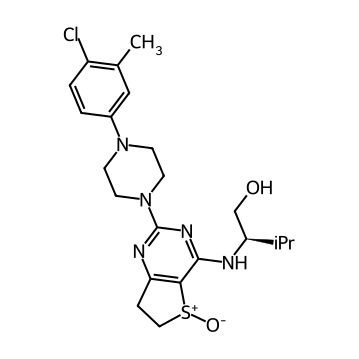 Cc1cc(N2CCN(c3nc4c(c(N[C@@H](CO)C(C)C)n3)[S+]([O-])CC4)CC2)ccc1Cl